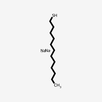 CCCCCCCCCCCCS.[Na].[Na]